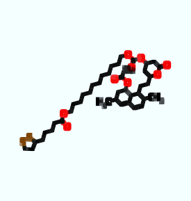 CCC(C)C(=O)OC1CC(C)C=C2C=CC(C)C(CCC3CC(OC(=O)OCCCCCCCCCCCCOC(=O)CCCCC4CCSS4)CC(=O)O3)C21